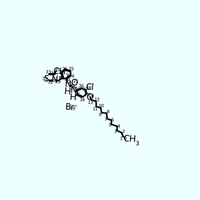 CCCCCCCCCCCCCCOc1ccc(NC(=O)Nc2ccccc2C[n+]2cscc2C)cc1Cl.[Br-]